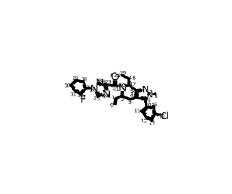 CCC1Cc2c(nn(C)c2-c2cccc(Cl)c2)C(CC)N1C(=O)c1ncn(-c2ccccc2F)n1